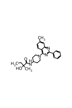 CCC(C)(O)C(=O)NC1CCN(c2nc(-c3ccccc3)nc3cc(C)ccc23)CC1